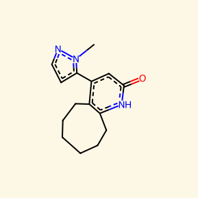 Cn1nccc1-c1cc(=O)[nH]c2c1CCCCCC2